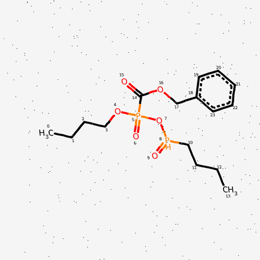 CCCCOP(=O)(O[PH](=O)CCCC)C(=O)OCc1ccccc1